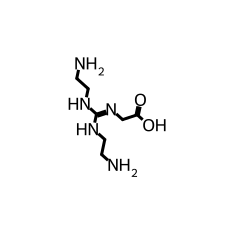 NCCNC(=NCC(=O)O)NCCN